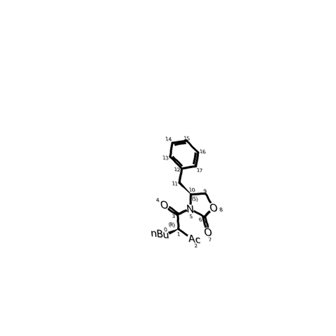 CCCC[C@H](C(C)=O)C(=O)N1C(=O)OC[C@@H]1Cc1ccccc1